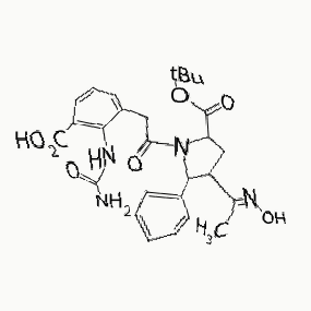 CC(=NO)C1CC(C(=O)OC(C)(C)C)N(C(=O)Cc2cccc(C(=O)O)c2NC(N)=O)C1c1ccccc1